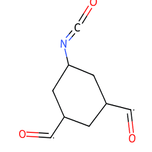 O=[C]C1CC([C]=O)CC(N=C=O)C1